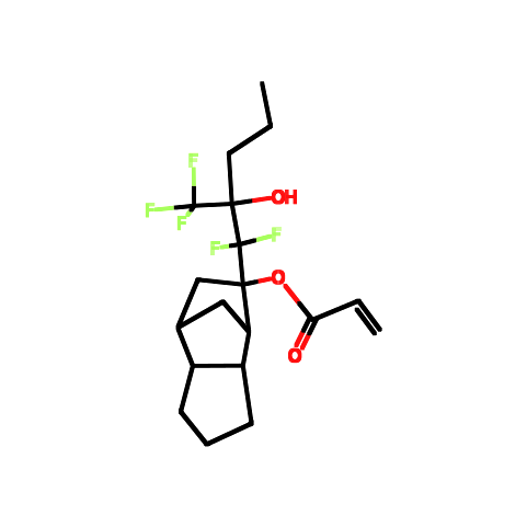 C=CC(=O)OC1(C(F)(F)C(O)(CCC)C(F)(F)F)CC2CC1C1CCCC21